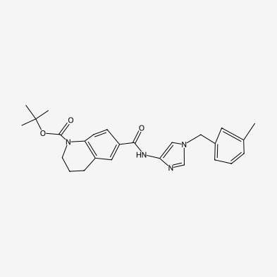 Cc1cccc(Cn2cnc(NC(=O)c3ccc4c(c3)CCCN4C(=O)OC(C)(C)C)c2)c1